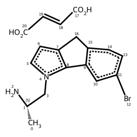 C[C@H](N)Cn1ccc2c1-c1cc(Br)ccc1C2.O=C(O)C=CC(=O)O